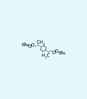 CC(COOC(C)(C)C)c1ccc(C(C)COOC(C)(C)C)cc1